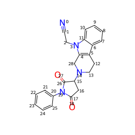 N#CCn1c2c(c3ccccc31)CCN(C1CC(=O)N(c3ccccc3)C1=O)C2